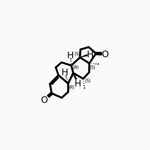 C[C@H]1C[C@]2(C)C(=O)CC[C@H]2[C@@H]2CCC3=CC(=O)CC[C@@H]3[C@H]21